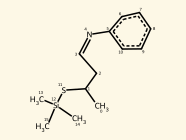 CC(C/C=N\c1ccccc1)S[Si](C)(C)C